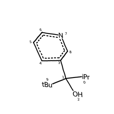 CC(C)C(O)(c1cccnc1)C(C)(C)C